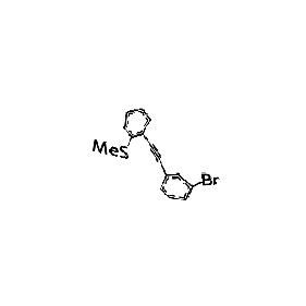 CSc1ccccc1C#Cc1cccc(Br)c1